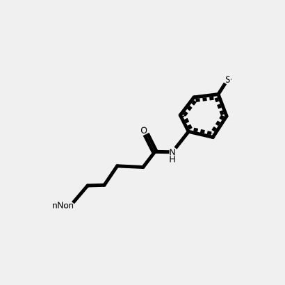 CCCCCCCCCCCCCC(=O)Nc1ccc([S])cc1